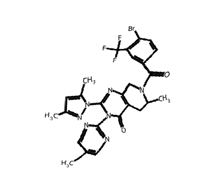 Cc1cnc(-n2c(-n3nc(C)cc3C)nc3c(c2=O)CC(C)N(C(=O)c2ccc(Br)c(C(F)(F)F)c2)C3)nc1